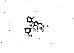 CN(Cc1cc(-c2cccnc2F)c(S(=O)(=O)c2ccnc(O)c2)s1)C(=O)OC(C)(C)C